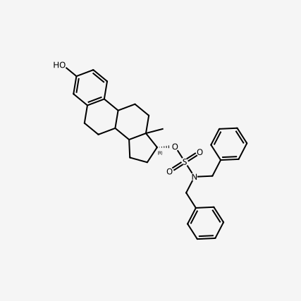 CC12CCC3c4ccc(O)cc4CCC3C1CC[C@H]2OS(=O)(=O)N(Cc1ccccc1)Cc1ccccc1